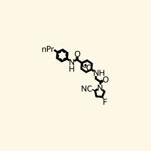 CCCc1ccc(NC(=O)C23CCC(NCC(=O)N4C[C@@H](F)C[C@H]4C#N)(CC2)CC3)cc1